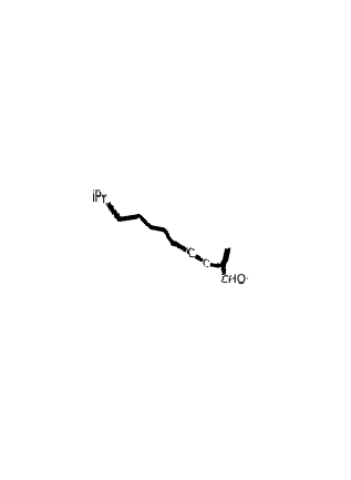 C=C([C]=O)CCCCCCCC(C)C